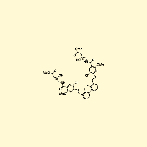 COC(=O)C[C@H](O)CNC(=O)c1cc(Cl)c(OCc2cccc(-c3cccc(COc4nc(OC)c(C(=O)NC[C@@H](O)CC(=O)OC)cc4Cl)c3C)c2C)nc1OC